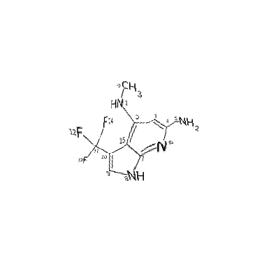 CNc1cc(N)nc2[nH]cc(C(F)(F)F)c12